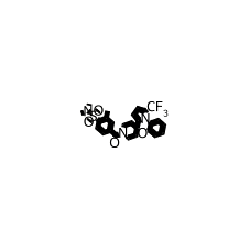 Cc1cc(C(=O)N2CCC3(CC2)Oc2ccccc2-n2c(C(F)(F)F)ccc23)ccc1S(=O)(=O)N(C)C